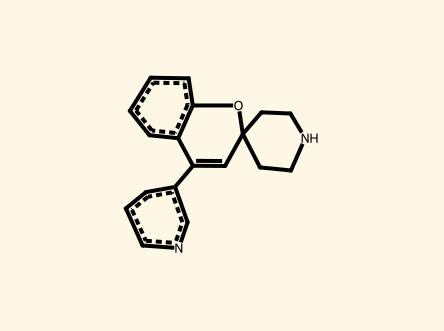 C1=C(c2cccnc2)c2ccccc2OC12CCNCC2